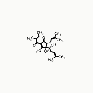 CCC(C)C(=O)C1=C(O)[C@@](O)([C@@H](O)CC=C(C)C)[C@@H](CC=C(C)C)C1=O